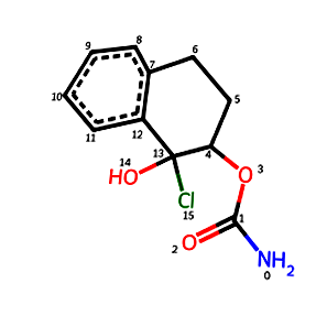 NC(=O)OC1CCc2ccccc2C1(O)Cl